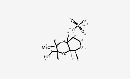 CO[C@@]1(C)O[C@H]2[C@H](O[C@]1(C)CO)[C@H](C)OC[C@H]2OS(=O)(=O)C(F)(F)F